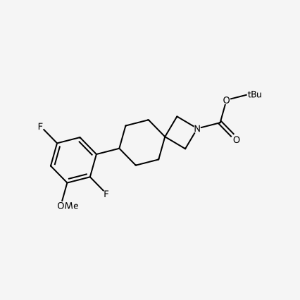 COc1cc(F)cc(C2CCC3(CC2)CN(C(=O)OC(C)(C)C)C3)c1F